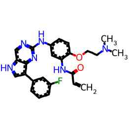 C=CC(=O)Nc1cc(Nc2ncc3[nH]cc(-c4cccc(F)c4)c3n2)ccc1OCCN(C)C